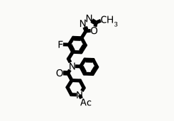 CC(=O)N1CCC(C(=O)N(Cc2ccc(-c3nnc(C)o3)cc2F)c2ccccc2)CC1